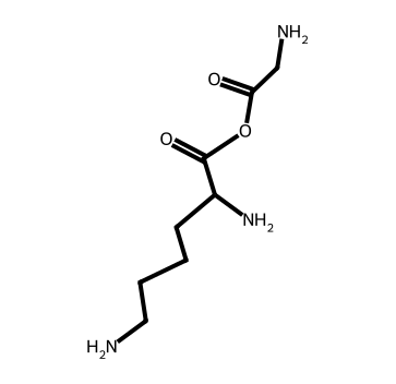 NCCCCC(N)C(=O)OC(=O)CN